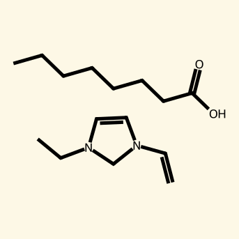 C=CN1C=CN(CC)C1.CCCCCCCC(=O)O